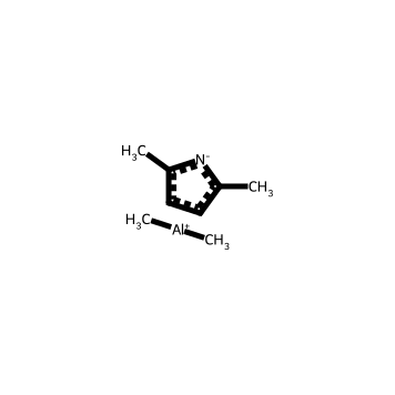 Cc1ccc(C)[n-]1.[CH3][Al+][CH3]